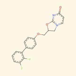 O=c1ccn2c(n1)OC(COc1ccc(-c3cccc(F)c3F)cc1)C2